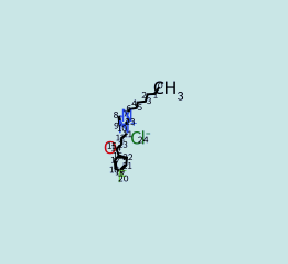 CCCCCCCn1cc[n+](CCCC(=O)c2ccc(F)cc2)c1.[Cl-]